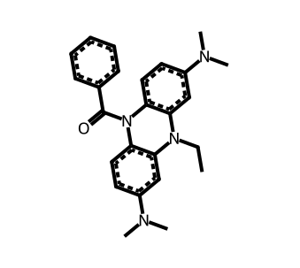 CCN1c2cc(N(C)C)ccc2N(C(=O)c2ccccc2)c2ccc(N(C)C)cc21